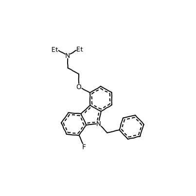 CCN(CC)CCOc1cccc2c1c1cccc(F)c1n2Cc1ccccc1